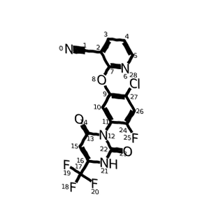 N#Cc1cccnc1Oc1cc(-n2c(=O)cc(C(F)(F)F)[nH]c2=O)c(F)cc1Cl